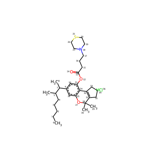 CCCCCC(C)C(C)c1cc(OC(=O)CCCN2CCSCC2)c2c(c1)OC(C)(C)C1=C2CCC1.Cl